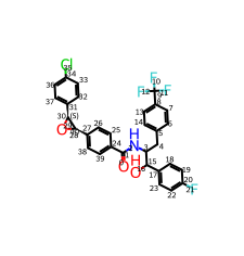 O=C(NC(Cc1ccc(C(F)(F)F)cc1)C(O)c1ccc(F)cc1)c1ccc([C@H]2O[C@H]2c2ccc(Cl)cc2)cc1